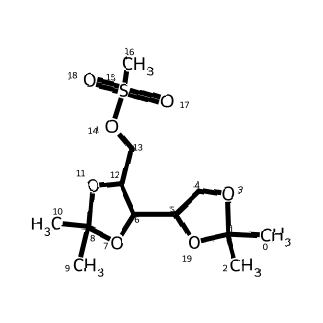 CC1(C)OCC(C2OC(C)(C)OC2COS(C)(=O)=O)O1